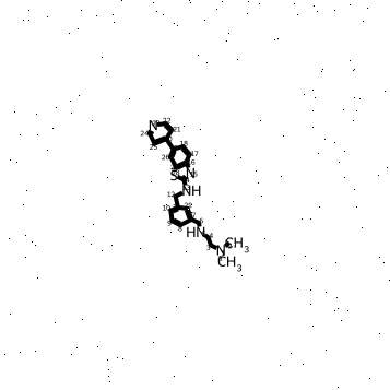 CN(C)CCNCc1cccc(CNc2nc3ccc(-c4ccncc4)cc3s2)c1